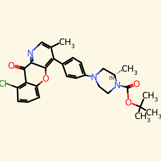 Cc1cnc2c(=O)c3c(Cl)cccc3oc2c1-c1ccc(N2CCN(C(=O)OC(C)(C)C)[C@@H](C)C2)cc1